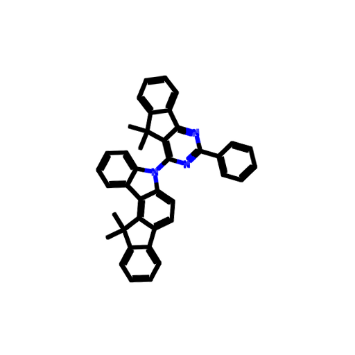 CC1(C)c2ccccc2-c2nc(-c3ccccc3)nc(-n3c4ccccc4c4c5c(ccc43)-c3ccccc3C5(C)C)c21